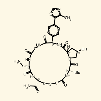 Cc1ncsc1-c1ccc([C@H]2NC(=O)[C@@H]3C[C@@H](O)CN3C(=O)[C@H](C(C)(C)C)NC(=O)CSC[C@H](C(N)=O)NC(=O)[C@H](CN)NC(=O)CNC2=O)cc1